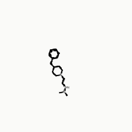 CN(C)NCCN1CCC(Cc2ccccc2)CC1